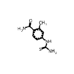 Cc1cc(NC(N)=S)ccc1C(N)=O